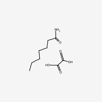 CCCCCCC(N)=O.O=C(O)C(=O)O